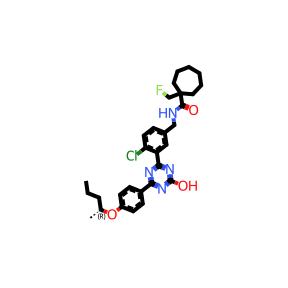 CCC[C@@H](C)Oc1ccc(-c2nc(O)nc(-c3cc(CNC(=O)C4(CF)CCCCCC4)ccc3Cl)n2)cc1